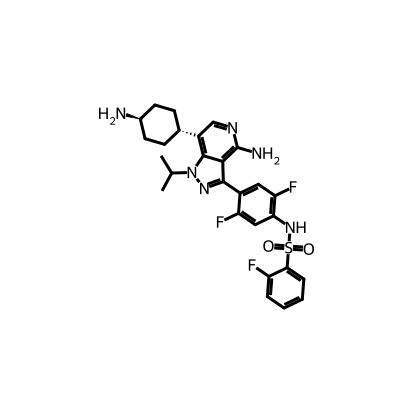 CC(C)n1nc(-c2cc(F)c(NS(=O)(=O)c3ccccc3F)cc2F)c2c(N)ncc([C@H]3CC[C@H](N)CC3)c21